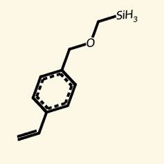 C=Cc1ccc(COC[SiH3])cc1